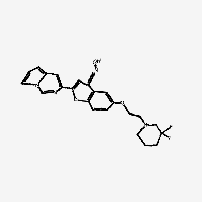 ON=c1cc(-c2cc3cccn3cn2)oc2ccc(OCCN3CCCC(F)(F)C3)cc12